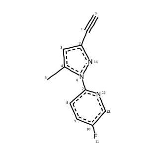 C#Cc1cc(C)n(-c2ccc(F)cn2)n1